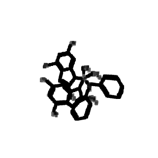 CC1=Cc2c(C(C)C)cc(C(C)C)cc2[CH]1[Hf]([CH3])([CH3])([CH]1C(C)=Cc2c(C(C)C)cc(C(C)C)cc21)[SiH](c1ccccc1)c1ccccc1